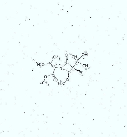 COC(=O)C(=C(C)C)N1C(=O)[C@](Br)(C(C)(C)O)[C@H]1SC